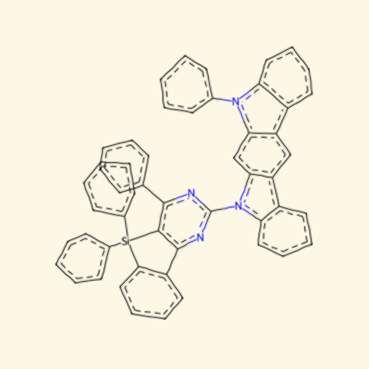 c1ccc(-c2nc(-n3c4ccccc4c4cc5c6ccccc6n(-c6ccccc6)c5cc43)nc3c2[Si](c2ccccc2)(c2ccccc2)c2ccccc2-3)cc1